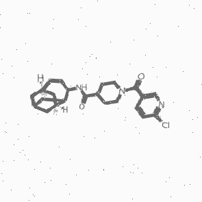 O=C(NC1CC[C@@H]2CC3CC1[C@@H](C3)C2)C1CCN(C(=O)c2ccc(Cl)nc2)CC1